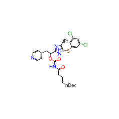 CCCCCCCCCCCCCC(=O)NC(=O)OC(Cc1ccncc1)c1nc(C(C)C)c(Sc2cc(Cl)cc(Cl)c2)[nH]1